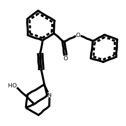 O=C(Oc1ccccc1)c1ccccc1C#CC1C(O)C2CCN1CC2